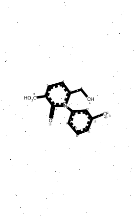 O=C(O)c1ccc(CO)n(-c2cccc(C(F)(F)F)c2)c1=O